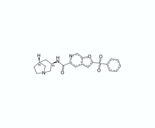 O=C(N[C@@H]1C[C@H]2CCN(C2)C1)c1cc2cc(S(=O)(=O)c3ccccc3)oc2cn1